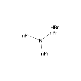 Br.CCCN(CCC)CCC